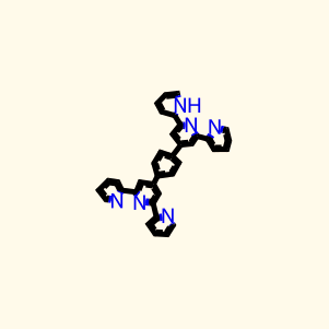 C1=CNC(c2cc(-c3ccc(-c4cc(-c5ccccn5)nc(-c5ccccn5)c4)cc3)cc(-c3ccccn3)n2)C=C1